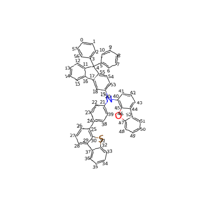 c1ccc(C2(c3ccccc3)c3ccccc3-c3cc(N(c4ccc(-c5cccc6c5sc5ccccc56)cc4)c4cccc5c4oc4ccccc45)ccc32)cc1